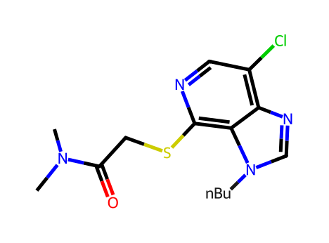 CCCCn1cnc2c(Cl)cnc(SCC(=O)N(C)C)c21